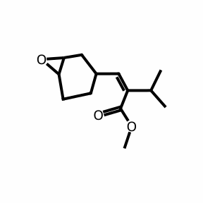 COC(=O)C(=CC1CCC2OC2C1)C(C)C